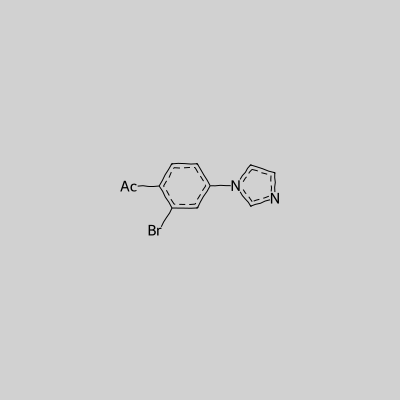 CC(=O)c1ccc(-n2ccnc2)cc1Br